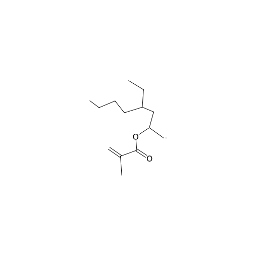 [CH2]C(CC(CC)CCCC)OC(=O)C(=C)C